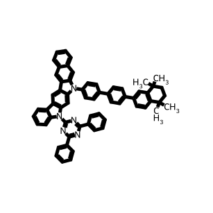 CC1(C)CCC(C)(C)c2cc(-c3ccc(-c4ccc(-n5c6cc7ccccc7cc6c6cc7c8ccccc8n(-c8nc(-c9ccccc9)nc(-c9ccccc9)n8)c7cc65)cc4)cc3)ccc21